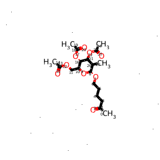 CC(=O)CCCCO[C@@H]1OC(COC(C)=O)[C@H](OC(C)=O)C(OC(C)=O)C1C